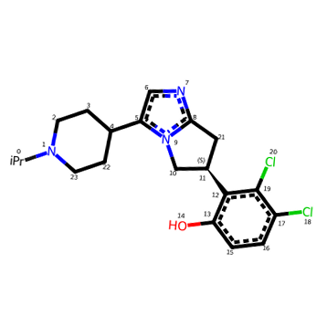 CC(C)N1CCC(c2cnc3n2C[C@H](c2c(O)ccc(Cl)c2Cl)C3)CC1